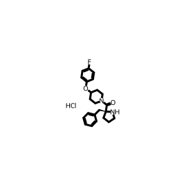 Cl.O=C(N1CCC(Oc2ccc(F)cc2)CC1)[C@@]1(Cc2ccccc2)CCCN1